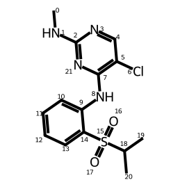 CNc1ncc(Cl)c(Nc2ccccc2S(=O)(=O)C(C)C)n1